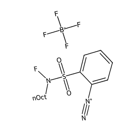 CCCCCCCCN(F)S(=O)(=O)c1ccccc1[N+]#N.F[B-](F)(F)F